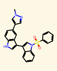 Cn1cc(-c2ccc3[nH]cc(-c4cn(S(=O)(=O)c5ccccc5)c5ccccc45)c3c2)cn1